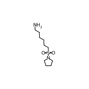 NCCCCCCS(=O)(=O)N1CCCC1